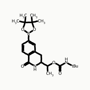 CC(OC(=O)NC(C)(C)C)C1Cc2cc(B3OC(C)(C)C(C)(C)O3)ccc2C(=O)N1